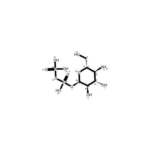 N[C@H]1[C@H](O)[C@@H](O)[C@@H](OP(=O)(O)OP(=O)(O)O)O[C@@H]1CO